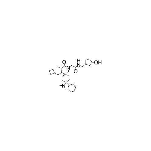 CC1C(=O)N(CC(=O)NCC2CCC(O)C2)C[C@]2(CC[C@](c3ccccc3)(N(C)C)CC2)C1CC1CCC1